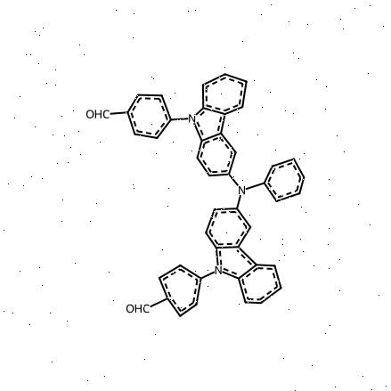 O=Cc1ccc(-n2c3ccccc3c3cc(N(c4ccccc4)c4ccc5c(c4)c4ccccc4n5-c4ccc(C=O)cc4)ccc32)cc1